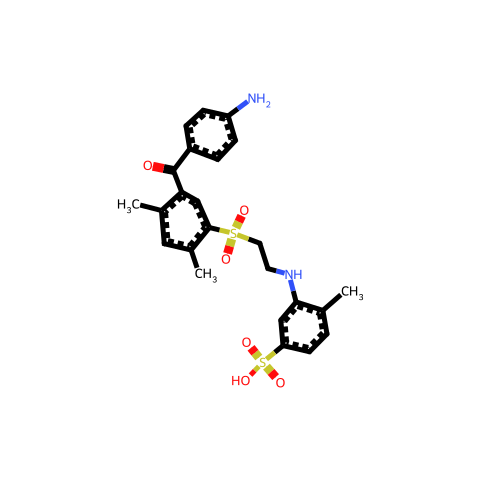 Cc1ccc(S(=O)(=O)O)cc1NCCS(=O)(=O)c1cc(C(=O)c2ccc(N)cc2)c(C)cc1C